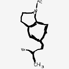 CC(=O)N1CCc2cc(CC(C)Br)ccc21